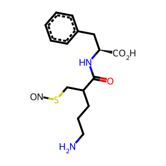 NCCCC(CSN=O)C(=O)N[C@@H](Cc1ccccc1)C(=O)O